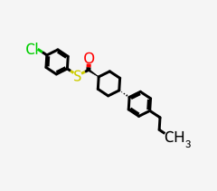 CCCc1ccc([C@H]2CC[C@H](C(=O)Sc3ccc(Cl)cc3)CC2)cc1